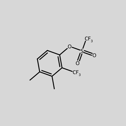 Cc1ccc(OS(=O)(=O)C(F)(F)F)c(C(F)(F)F)c1C